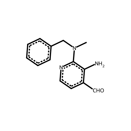 CN(Cc1ccccc1)c1nccc(C=O)c1N